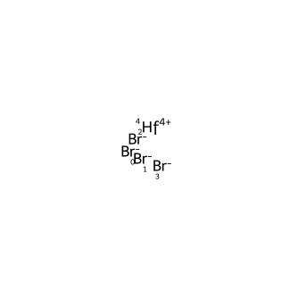 [Br-].[Br-].[Br-].[Br-].[Hf+4]